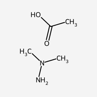 CC(=O)O.CN(C)N